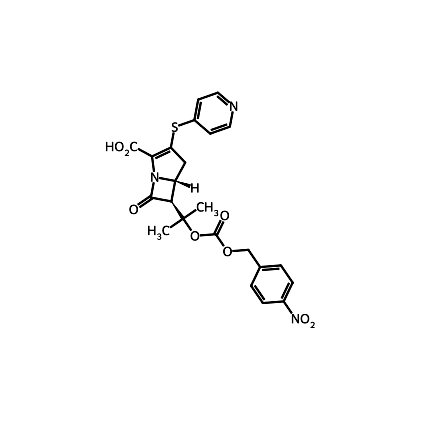 CC(C)(OC(=O)OCc1ccc([N+](=O)[O-])cc1)[C@H]1C(=O)N2C(C(=O)O)=C(Sc3ccncc3)C[C@H]12